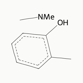 CNC.Cc1ccccc1O